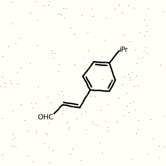 CC(C)c1ccc(C=CC=O)cc1